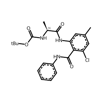 Cc1cc(Cl)c(C(=O)Nc2ccccc2)c(NC(=O)[C@H](C)NC(=O)OC(C)(C)C)c1